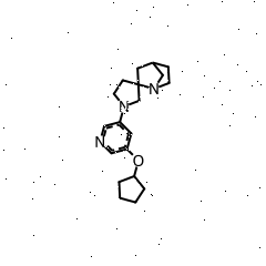 c1ncc(N2CCC3(CC4CCN3C4)C2)cc1OC1CCCC1